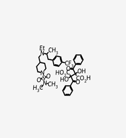 CCN(CC1CCN(S(=O)(=O)N(C)C)CC1)C(C)Cc1ccc(C(F)(F)F)cc1.O=C(O)C(O)(C(=O)c1ccccc1)C(O)(C(=O)O)C(=O)c1ccccc1